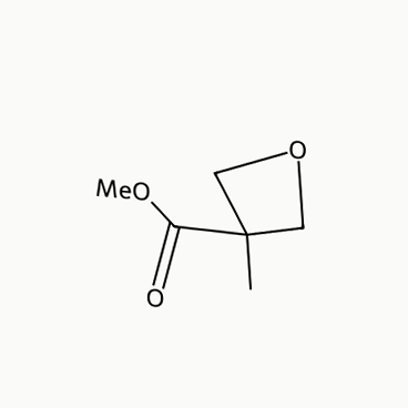 COC(=O)C1(C)COC1